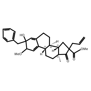 C=CCC1(C(=O)OC)C[C@H]2[C@@H]3CCC4=CC(O)(Cc5ccccc5)C(OC)C=C4[C@H]3CC[C@]2(C)C1=O